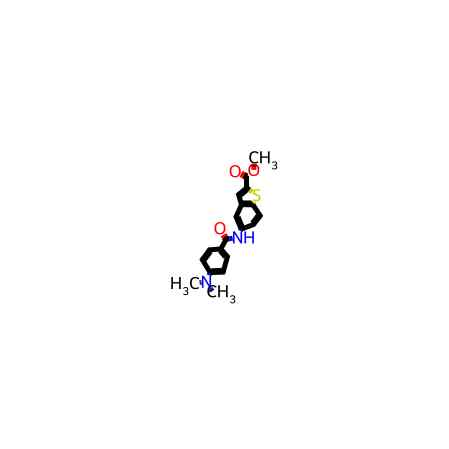 COC(=O)c1cc2cc(NC(=O)c3ccc(N(C)C)cc3)ccc2s1